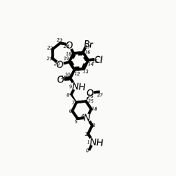 CNCCN1CC[C@@H](CNC(=O)c2cc(Cl)c(Br)c3c2OCCCO3)[C@H](OC)C1